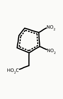 O=C(O)Cc1cccc([N+](=O)[O-])c1[N+](=O)[O-]